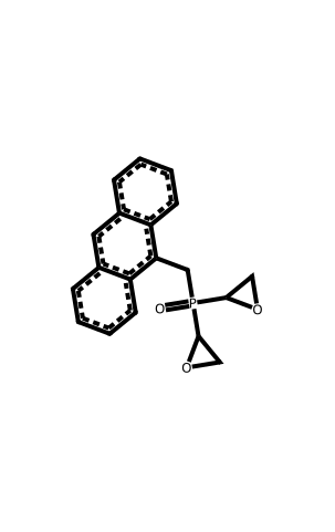 O=P(Cc1c2ccccc2cc2ccccc12)(C1CO1)C1CO1